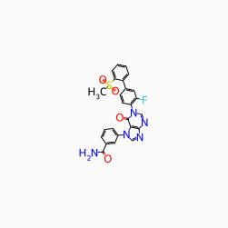 CS(=O)(=O)c1ccccc1-c1ccc(-n2cnc3ncn(-c4cccc(C(N)=O)c4)c3c2=O)c(F)c1